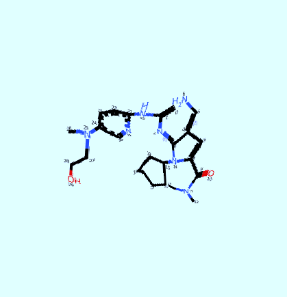 C=C(/N=C1\C(=C/N)C=C(C(=O)N(C)C)N1C1CCCC1)Nc1ccc(N(C)CCO)cn1